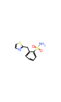 NS(=O)(=O)c1ccccc1Cc1nccs1